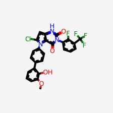 COc1cccc(-c2ccc(-n3c(Cl)cc4[nH]c(=O)n(-c5cccc(C(F)(F)F)c5F)c(=O)c43)cc2)c1O